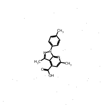 Cc1ccc(-n2nc(C)c3c(C(=O)O)cc(C)nc32)cc1